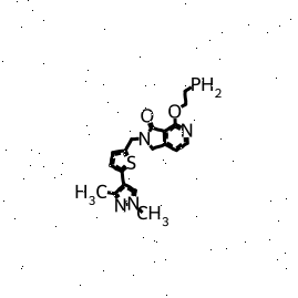 Cc1nn(C)cc1-c1ccc(CN2Cc3ccnc(OCCP)c3C2=O)s1